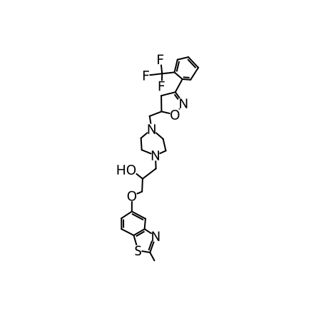 Cc1nc2cc(OCC(O)CN3CCN(CC4CC(c5ccccc5C(F)(F)F)=NO4)CC3)ccc2s1